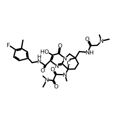 Cc1cc(CNC(=O)c2nc3n(c(=O)c2O)CC2(CNC(=O)CN(C)C)CCC3(N(C)C(=O)C(=O)N(C)C)CC2)ccc1F